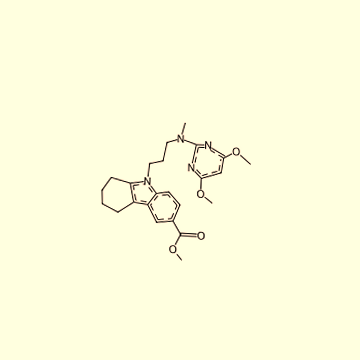 COC(=O)c1ccc2c(c1)c1c(n2CCCN(C)c2nc(OC)cc(OC)n2)CCCC1